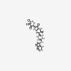 O=C1CCC(N2Cc3cc(N4CCN(Cc5cnc6ncccn56)CC4)c(F)cc3C2=O)C(=O)N1